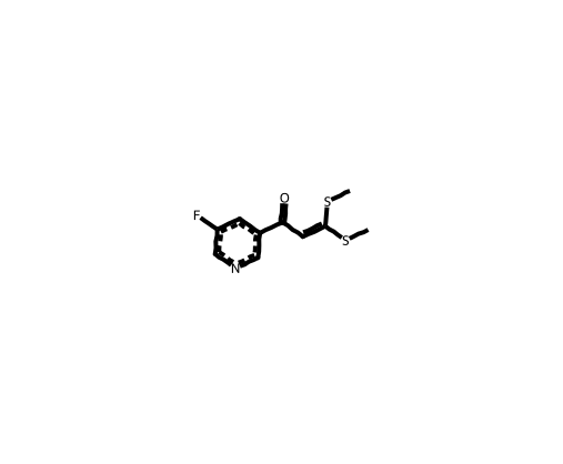 CSC(=CC(=O)c1cncc(F)c1)SC